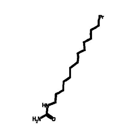 CC(C)CCCCCCCCCCCCCNC(N)=O